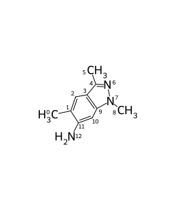 Cc1cc2c(C)nn(C)c2cc1N